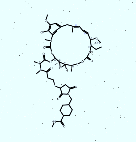 CC[C@@]1(O)NC(=O)OC[C@@H](C)[C@@H]2O[C@@]2(C)[C@@H](OC(=O)[C@H](C)N(C)C(=O)CCSC2CC(=O)N(CC3CCC(C(=O)NC)CC3)C2=O)CC(=O)N(C)c2cc(cc(OC)c2Cl)C/C(C)=C/C=C/[C@H]1OC